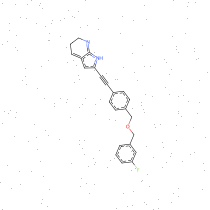 Fc1cccc(COCc2ccc(C#Cc3cc4c([nH]3)=NCCC=4)cc2)c1